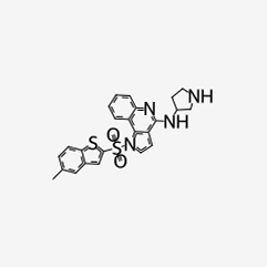 Cc1ccc2sc(S(=O)(=O)n3ccc4c(NC5CCNC5)nc5ccccc5c43)cc2c1